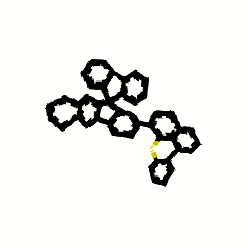 c1ccc2c(c1)Sc1c(-c3ccc4c(c3)C3(c5ccccc5-c5ccccc53)c3cc5ccccc5cc3-4)ccc3cccc-2c13